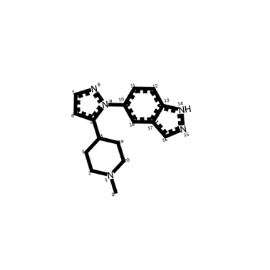 CN1CCC(c2ccnn2-c2ccc3[nH]ncc3c2)CC1